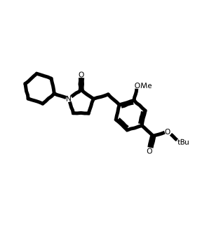 COc1cc(C(=O)OC(C)(C)C)ccc1CC1CCN(C2CCCCC2)C1=O